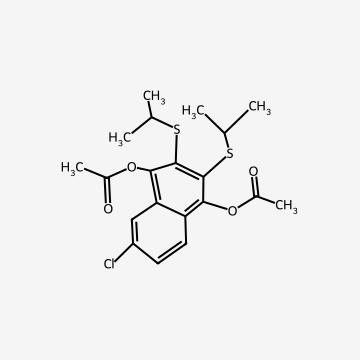 CC(=O)Oc1c(SC(C)C)c(SC(C)C)c(OC(C)=O)c2cc(Cl)ccc12